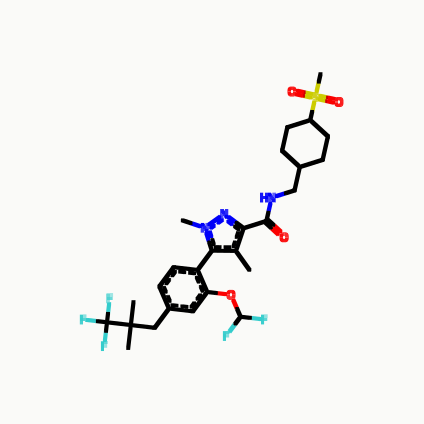 Cc1c(C(=O)NCC2CCC(S(C)(=O)=O)CC2)nn(C)c1-c1ccc(CC(C)(C)C(F)(F)F)cc1OC(F)F